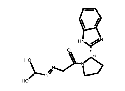 O=C(CN=NC(O)O)N1CCC[C@H]1c1nc2ccccc2[nH]1